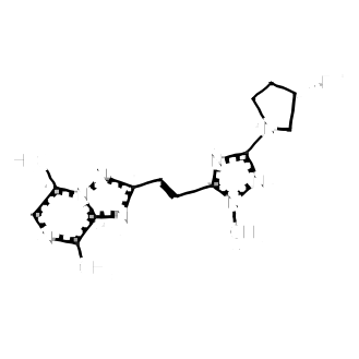 Cc1ncc(C)n2nc(/C=C/c3nc(N4CC[C@H](F)C4)nn3C)nc12